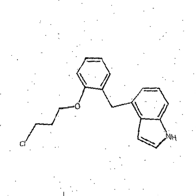 ClCCCOc1ccccc1Cc1cccc2[nH]ccc12